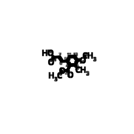 COC(=O)c1c(C=CC(=O)O)ccc(OC)c1C